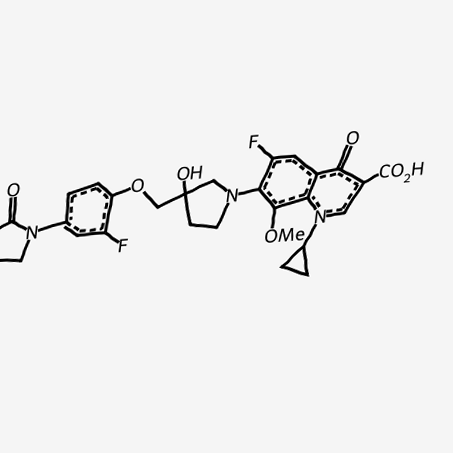 COc1c(N2CCC(O)(COc3ccc(N4CCOC4=O)cc3F)C2)c(F)cc2c(=O)c(C(=O)O)cn(C3CC3)c12